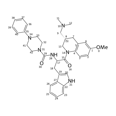 COc1ccc2c(c1)C[C@@H](CN(C)C)CN2C(=O)C(Cc1c[nH]c2ccccc12)NC(=O)N1CCN(c2ccccc2)CC1